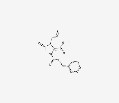 C=CCC1C(=O)CN(C(=O)OCc2ccccc2)[C@@H]1C(=O)OC